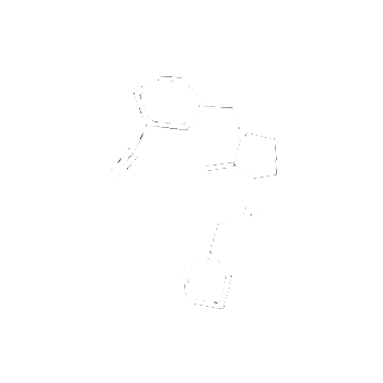 N#Cc1cccc(CN2CC[C@H](NCc3ccsc3)C2=O)c1